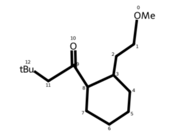 COCCC1CCCCC1C(=O)CC(C)(C)C